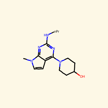 CCCNc1nc(N2CCC(O)CC2)c2ccn(C)c2n1